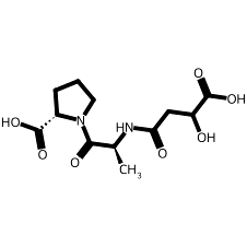 C[C@H](NC(=O)CC(O)C(=O)O)C(=O)N1CCC[C@H]1C(=O)O